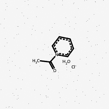 CC(=O)[n+]1ccccc1.O.[Cl-]